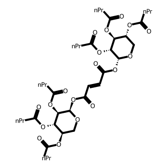 CCCC(=O)O[C@@H]1[C@@H](OC(=O)CCC)[C@@H](OC(=O)/C=C/C(=O)O[C@H]2OC[C@@H](OC(=O)CCC)[C@H](OC(=O)CCC)[C@H]2OC(=O)CCC)OC[C@H]1OC(=O)CCC